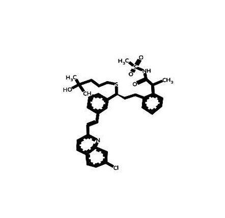 CC(C(=O)NS(C)(=O)=O)c1ccccc1CC[C@H](SCCCC(C)(C)O)c1cccc(C=Cc2ccc3ccc(Cl)cc3n2)c1